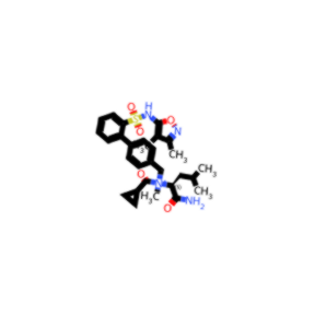 Cc1noc(NS(=O)(=O)c2ccccc2-c2ccc(C[N+](C)(C(=O)C3CC3)[C@@H](CC(C)C)C(N)=O)cc2)c1C